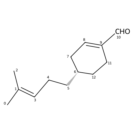 CC(C)=CCC[C@@H]1CC=C(C=O)CC1